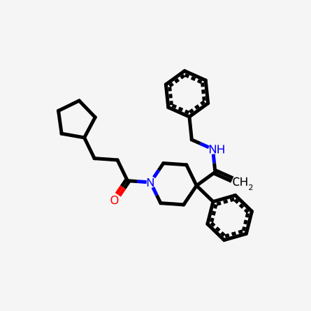 C=C(NCc1ccccc1)C1(c2ccccc2)CCN(C(=O)CCC2CCCC2)CC1